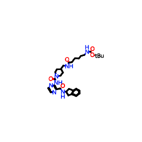 CC(C)(C)OC(=O)NCCCCCC(=O)NCC1CCN(C(=O)Nc2nccnc2C(=O)NC2Cc3ccccc3C2)CC1